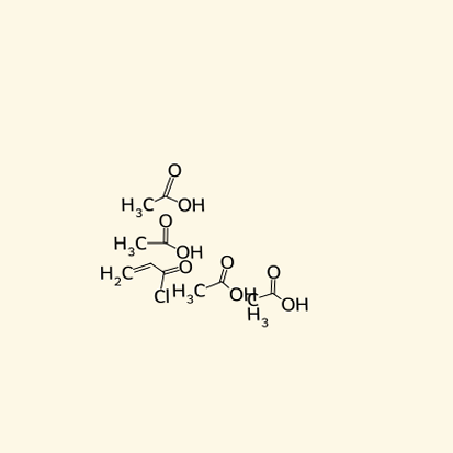 C=CC(=O)Cl.CC(=O)O.CC(=O)O.CC(=O)O.CC(=O)O